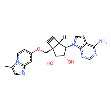 Cc1cnc2cc(OC[C@@]34C#C[C@@H]3[C@@H](n3ccc5c(N)ncnc53)[C@H](O)[C@@H]4O)ccn12